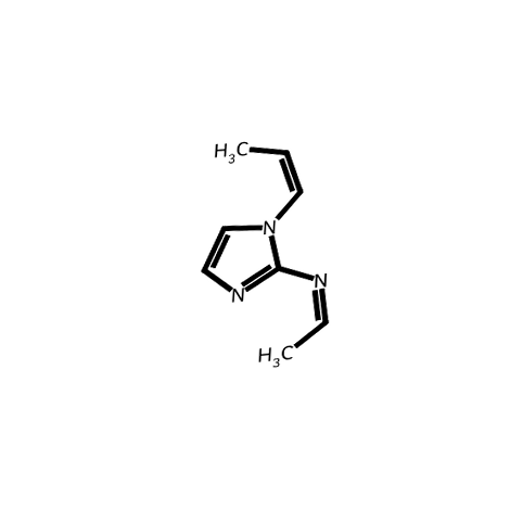 C/C=C\n1ccnc1/N=C\C